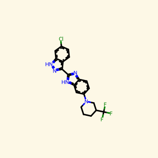 FC(F)(F)C1CCCN(c2ccc3nc(-c4n[nH]c5cc(Cl)ccc45)[nH]c3c2)C1